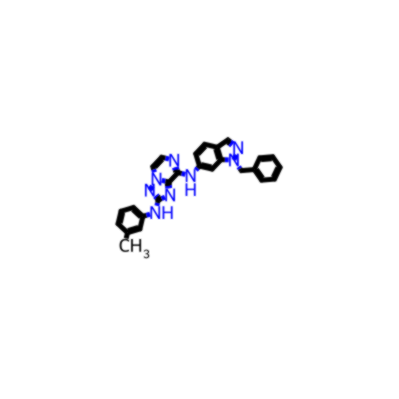 Cc1cccc(Nc2nc3c(Nc4ccc5cnn(Cc6ccccc6)c5c4)nccn3n2)c1